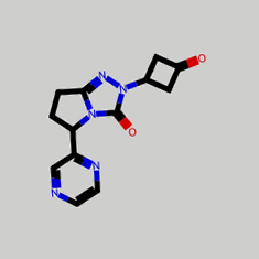 O=C1CC(n2nc3n(c2=O)C(c2cnccn2)CC3)C1